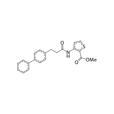 COC(=O)c1sccc1NC(=O)CCc1ccc(-c2ccccc2)cc1